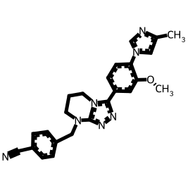 COc1cc(-c2nnc3n2CCCN3Cc2ccc(C#N)cc2)ccc1-n1cnc(C)c1